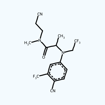 CC(C(=O)N(C)CCC#N)N(CC(F)(F)F)c1ccc(C#N)c(C(F)(F)F)c1